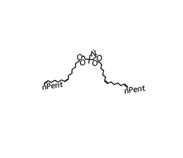 CCCCC/C=C\CCCC/C=C\CCCCCC1OCC(C(C)(CN(C)C)C2COC(CCCCC/C=C\CCCC/C=C\CCCCC)O2)O1